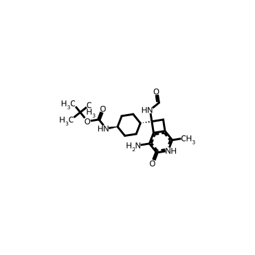 Cc1[nH]c(=O)c(N)c2c1CC2(NC=O)[C@H]1CC[C@H](NC(=O)OC(C)(C)C)CC1